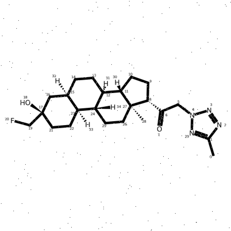 Cc1nnn(CC(=O)[C@H]2CC[C@H]3[C@@H]4CC[C@@H]5C[C@@](O)(CF)CC[C@@H]5[C@H]4CC[C@]23C)n1